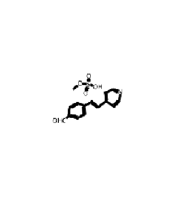 COS(=O)(=O)O.O=Cc1ccc(C=Cc2ccncc2)cc1